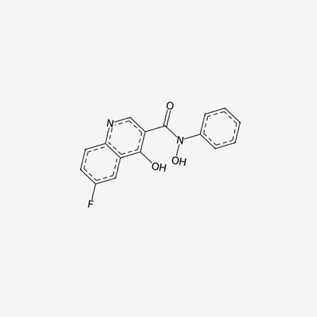 O=C(c1cnc2ccc(F)cc2c1O)N(O)c1ccccc1